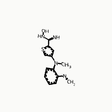 C=Nc1ccccc1N(C)c1csc(C(=N)NO)c1